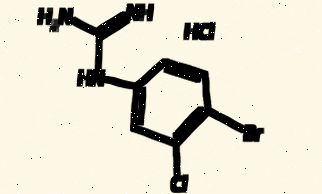 Cl.N=C(N)Nc1ccc(Br)c(Cl)c1